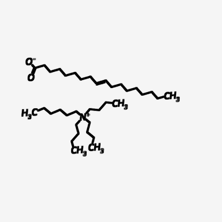 CCCCCCCCC=CCCCCCCCC(=O)[O-].CCCCCC[N+](CCCC)(CCCC)CCCC